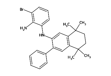 CC1(C)CCC(C)(C)c2cc(-c3ccccc3)c(Nc3cccc(Br)c3N)cc21